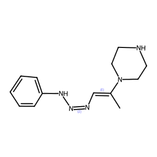 C/C(=C\N=N/Nc1ccccc1)N1CCNCC1